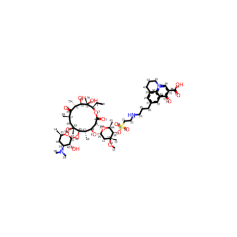 CC[C@H]1OC(=O)[C@H](C)[C@@H](O[C@H]2C[C@@](C)(OC)[C@@H](OS(=O)(=O)CCNCCCc3cc4c5c(c3)c(=O)c(C(=O)O)cn5CCC4)[C@H](C)O2)[C@H](C)[C@@H](O[C@@H]2O[C@H](C)C[C@H](N(C)C)[C@H]2O)[C@](C)(OC)C[C@@H](C)C(=O)[C@H](C)[C@@H](O)[C@]1(C)O